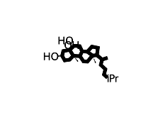 CC(C)CCCC(C)C1CCC2C3C[C@@H](O)[C@@]4(O)C[C@@H](O)CC[C@]4(C)C3CC[C@]12C